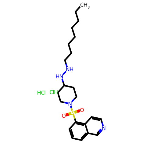 CCCCCCCCNNC1CCN(S(=O)(=O)c2cccc3cnccc23)CC1.Cl.Cl